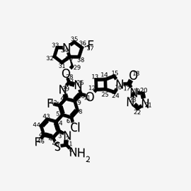 Nc1nc2c(-c3c(Cl)cc4c(OC5CC6CN(C(=O)n7cncn7)CC65)nc(OC[C@@]56CCCN5C[C@H](F)C6)nc4c3F)ccc(F)c2s1